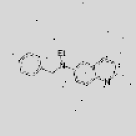 CCN(Cc1ccccc1)c1ccc2ncccc2c1